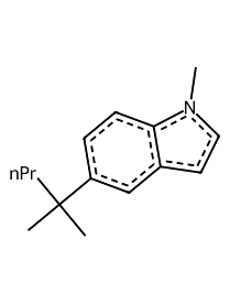 CCCC(C)(C)c1ccc2c(ccn2C)c1